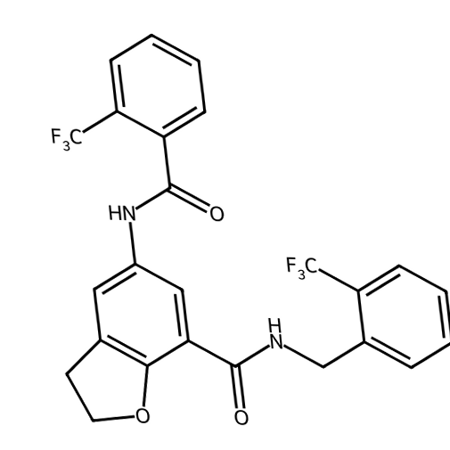 O=C(Nc1cc2c(c(C(=O)NCc3ccccc3C(F)(F)F)c1)OCC2)c1ccccc1C(F)(F)F